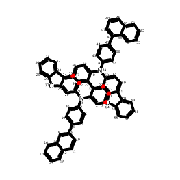 c1ccc(N(c2ccc(-c3ccc4ccccc4c3)cc2)c2ccc3c(c2)oc2ccccc23)c(-c2ccccc2N(c2ccc(-c3cccc4ccccc34)cc2)c2ccc3c(c2)oc2ccccc23)c1